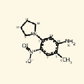 Cc1cc([N+](=O)[O-])c(N2CCCC2)cc1N